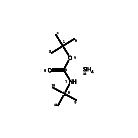 CC(C)(C)OC(=O)N[Si](C)(C)C.[SiH4]